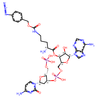 [N-]=[N+]=Nc1ccc(COC(=O)NCCC[C@@H](N)C(=O)O[C@H]2[C@@H](O)[C@H](n3cnc4c(N)ncnc43)O[C@H]2COP(=O)(O)O[C@H]2C[C@H](n3ccc(N)nc3=O)O[C@@H]2COP(=O)(O)O)cc1